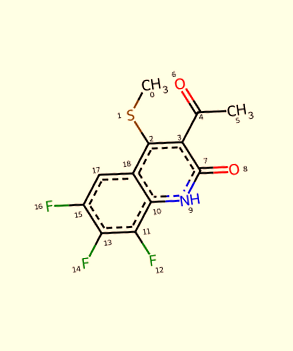 CSc1c(C(C)=O)c(=O)[nH]c2c(F)c(F)c(F)cc12